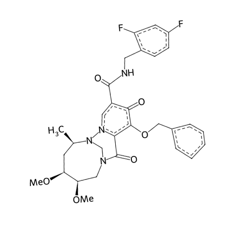 CO[C@H]1C[C@@H](C)N2CN(C[C@H]1OC)C(=O)c1c(OCc3ccccc3)c(=O)c(C(=O)NCc3ccc(F)cc3F)cn12